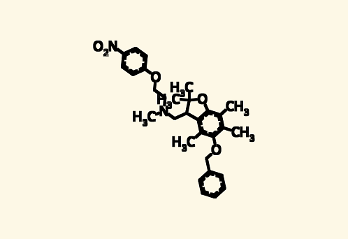 Cc1c(C)c2c(c(C)c1OCc1ccccc1)C(CN(C)CCOc1ccc([N+](=O)[O-])cc1)C(C)(C)O2